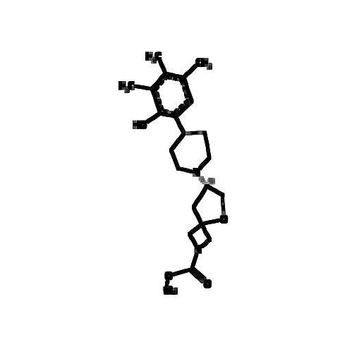 Cc1cc(C2CCN([C@@H]3COC4(C3)CN(C(=O)OC(C)(C)C)C4)CC2)c(O)c(C)c1C